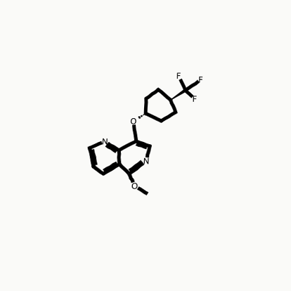 COc1ncc(O[C@H]2CC[C@H](C(F)(F)F)CC2)c2ncccc12